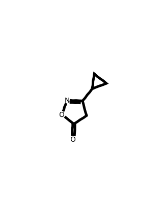 O=C1CC(C2CC2)=NO1